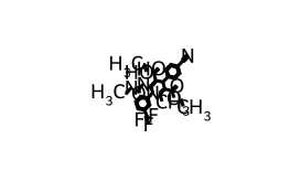 CCNC(=O)NC1=C(C(=O)OCC)C(c2ccc(C#N)cc2)C(C(=O)OCC)=C(C)N1c1cccc(C(F)(F)F)c1